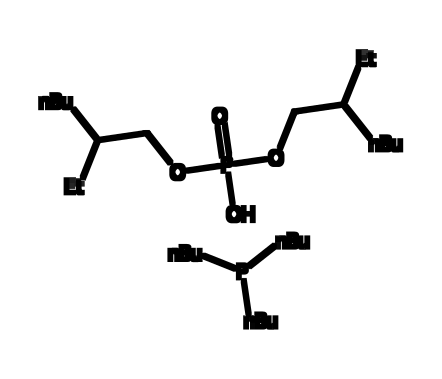 CCCCC(CC)COP(=O)(O)OCC(CC)CCCC.CCCCP(CCCC)CCCC